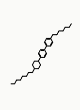 CCCCCCCCC1CCC(c2ccc(-c3ccc(CCCCCCC)cc3)cc2)CC1